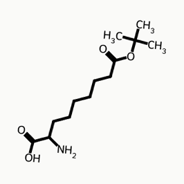 CC(C)(C)OC(=O)CCCCCCC(N)C(=O)O